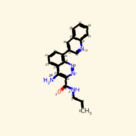 CCCNC(=O)c1nnc2c(-c3cnc4ccccc4c3)cccc2c1N